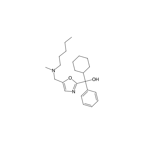 CCCCCN(C)Cc1cnc(C(O)(c2ccccc2)C2CCCCC2)o1